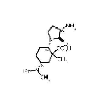 CC(C)N(C)[C@@H]1CC[C@H](N2CC[C@H](N)C2=O)C(C)(C(=O)O)C1